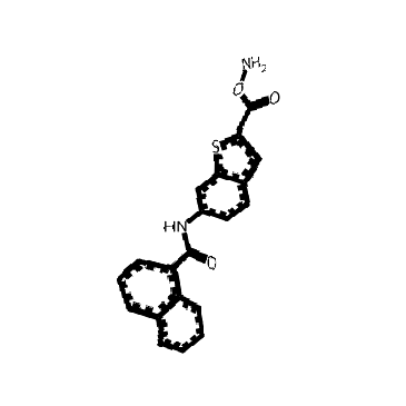 NOC(=O)c1cc2ccc(NC(=O)c3cccc4ccccc34)cc2s1